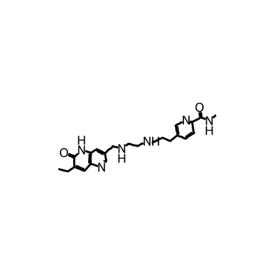 CCc1cc2ncc(CNCCNCCCc3ccc(C(=O)NC)nc3)cc2[nH]c1=O